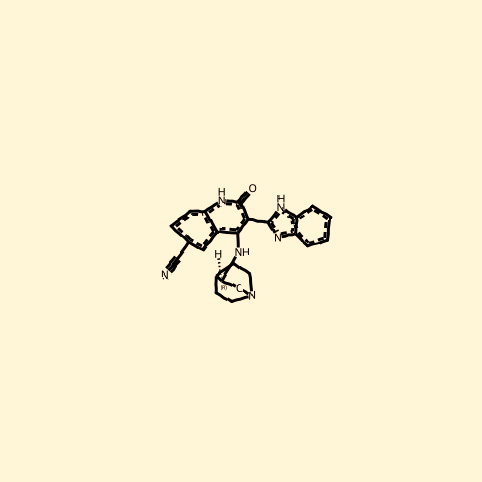 N#Cc1ccc2[nH]c(=O)c(-c3nc4ccccc4[nH]3)c(N[C@H]3CN4CCC3CC4)c2c1